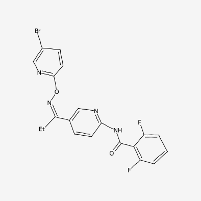 CC/C(=N/Oc1ccc(Br)cn1)c1ccc(NC(=O)c2c(F)cccc2F)nc1